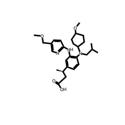 COCc1ccc(Nc2cc([C@H](C)CC(=O)O)ccc2N(CC(C)C)C2CCC(OC)CC2)nc1